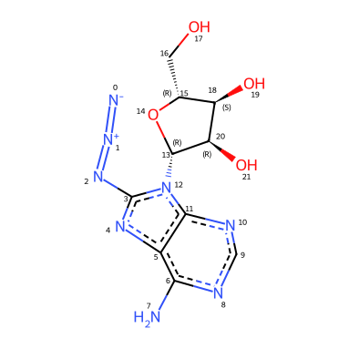 [N-]=[N+]=Nc1nc2c(N)ncnc2n1[C@@H]1O[C@H](CO)[C@@H](O)[C@H]1O